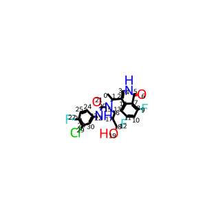 CC(c1c[nH]c(=O)c2c(F)cc(F)cc12)N(CCCO)C(=O)Nc1ccc(F)c(Cl)c1